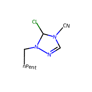 CCCCCCN1N=CN(C#N)C1Cl